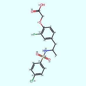 CC(Cc1ccc(OCC(=O)O)c(F)c1)NS(=O)(=O)c1ccc(Cl)cc1